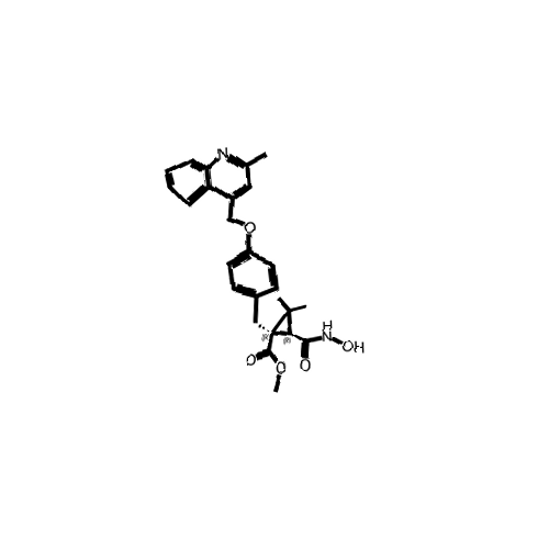 COC(=O)[C@]1(Cc2ccc(OCc3cc(C)nc4ccccc34)cc2)[C@H](C(=O)NO)C1(C)C